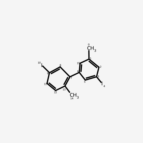 Cc1cc(I)cc(-c2cc(I)ccc2C)c1